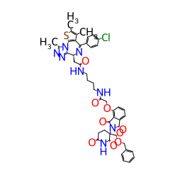 Cc1sc2c(c1C)C(c1ccc(Cl)cc1)=N[C@@H](CC(=O)NCCCCNC(=O)COc1cccc3c1C(=O)N([C@]1(C(=O)OCc4ccccc4)CCC(=O)NC1=O)C3=O)c1nnc(C)n1-2